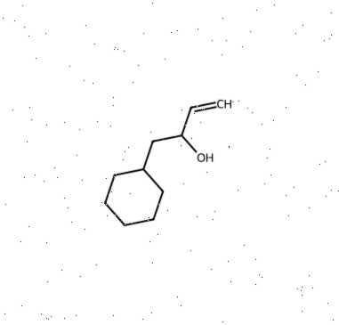 [CH]=CC(O)CC1CCCCC1